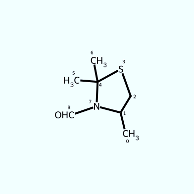 CC1CSC(C)(C)N1C=O